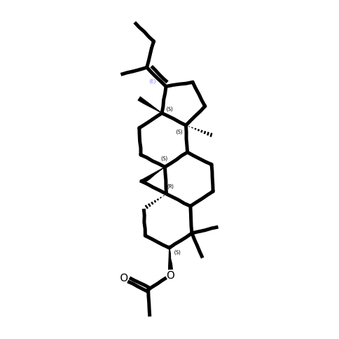 CC/C(C)=C1\CC[C@@]2(C)C3CCC4C(C)(C)[C@@H](OC(C)=O)CC[C@@]45C[C@@]35CC[C@]12C